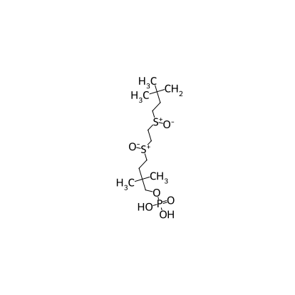 [CH2]C(C)(C)CC[S+]([O-])CC[S+]([O-])CCC(C)(C)COP(=O)(O)O